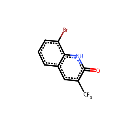 O=c1[nH]c2c(Br)cccc2cc1C(F)(F)F